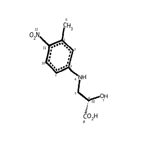 Cc1cc(NC[C@H](O)C(=O)O)ccc1[N+](=O)[O-]